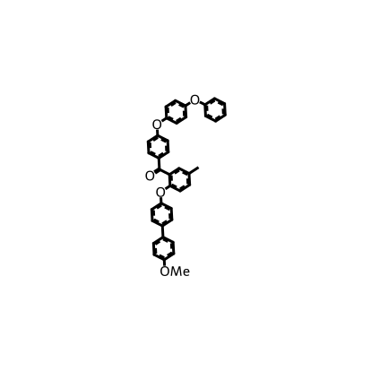 COc1ccc(-c2ccc(Oc3ccc(C)cc3C(=O)c3ccc(Oc4ccc(Oc5ccccc5)cc4)cc3)cc2)cc1